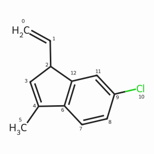 C=CC1C=C(C)c2ccc(Cl)cc21